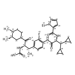 CCCC(=O)N[C@@H](C(=O)N1CCN(C)[C@H](C)C1)[C@@H](C)c1ccc(NC(=O)[C@@H](NC(=O)c2ccnn2CC)C(C2CC2)C2CC2)c(F)c1